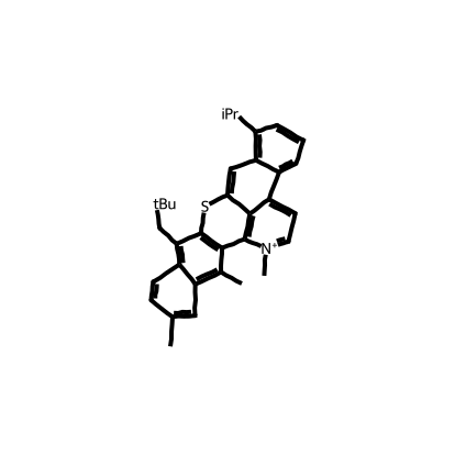 Cc1ccc2c(CC(C)(C)C)c3c(c(C)c2c1)-c1c2c(cc4c(C(C)C)cccc4c2cc[n+]1C)S3